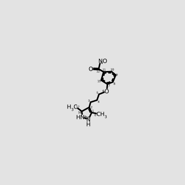 CC1=C(CCCOc2cccc(C(=O)N=O)c2)C(C)NN1